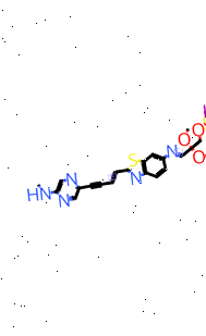 CNc1cnc(C#C/C=C/c2nc3ccc(/N=C/C(COSI)(OC)OC)cc3s2)cn1